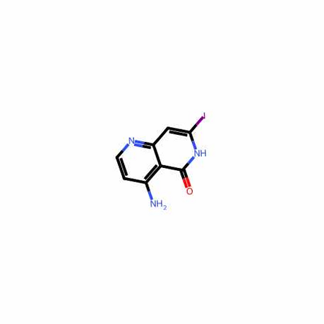 Nc1ccnc2cc(I)[nH]c(=O)c12